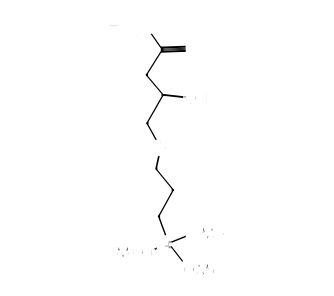 C=C(CC(O)COCCC[Si](OC)(OC)OC)C(=O)O